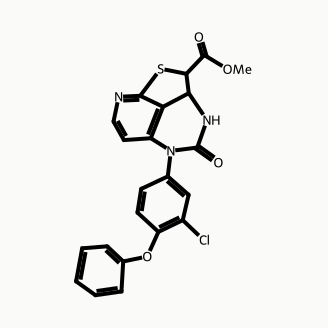 COC(=O)C1Sc2nccc3c2C1NC(=O)N3c1ccc(Oc2ccccc2)c(Cl)c1